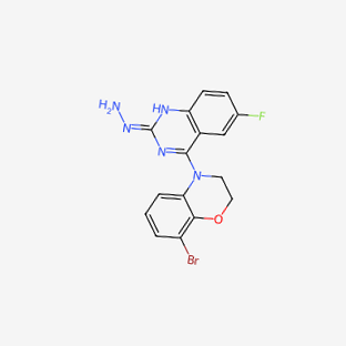 N/N=c1/nc(N2CCOc3c(Br)cccc32)c2cc(F)ccc2[nH]1